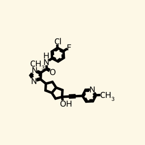 Cc1ccc(C#CC2(O)CC3CC(c4ncn(C)c4C(=O)Nc4ccc(F)c(Cl)c4)CC3C2)cn1